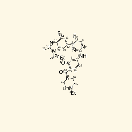 CCOc1cc(Nc2ncc(F)c(-c3cc(F)c4nc(C)n(C(C)C)c4c3)n2)ccc1C(=O)N1CCN(CC)CC1